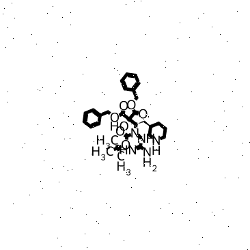 CC(C)(C)OC(=O)N(NC(=N)N)[C@@H](C[C@H]1CCCNC1)C(O)(C(=O)OCc1ccccc1)C(=O)OCc1ccccc1